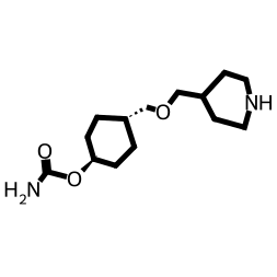 NC(=O)O[C@H]1CC[C@H](COCC2CCNCC2)CC1